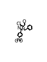 O=Cc1c(Cl)nc(-c2ccc([N+](=O)[O-])cc2)n1Cc1ccccc1